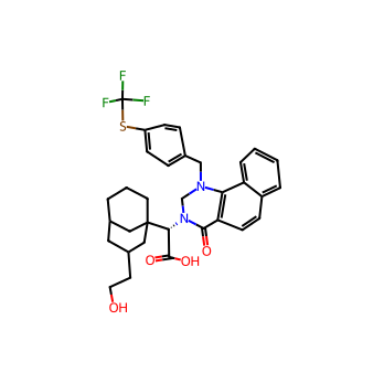 O=C(O)[C@@H](N1CN(Cc2ccc(SC(F)(F)F)cc2)c2c(ccc3ccccc23)C1=O)C12CCCC(CC(CCO)C1)C2